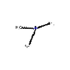 CCCCCCCCCCCCCCCCCCc1n(CCCCCCCCCCCCCC)cc[n+]1CCCCCCCCCCCCCC